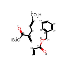 C=C(CC=CC(=O)O)C(=O)OCC(C)C.C=CC(=O)OCc1ccccc1